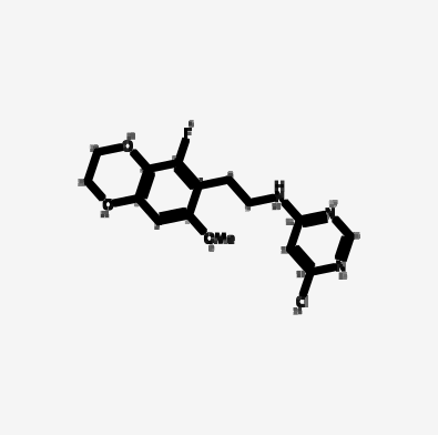 COc1cc2c(c(F)c1CCNc1cc(Cl)ncn1)OCCO2